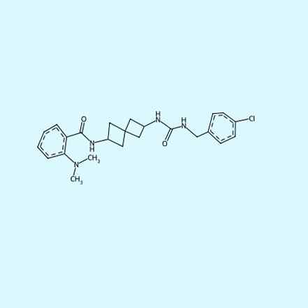 CN(C)c1ccccc1C(=O)NC1CC2(CC(NC(=O)NCc3ccc(Cl)cc3)C2)C1